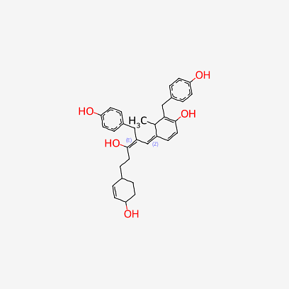 CC1C(Cc2ccc(O)cc2)=C(O)C=C/C1=C/C(Cc1ccc(O)cc1)=C(/O)CCC1C=CC(O)CC1